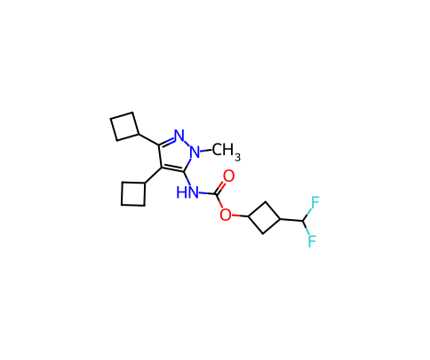 Cn1nc(C2CCC2)c(C2CCC2)c1NC(=O)OC1CC(C(F)F)C1